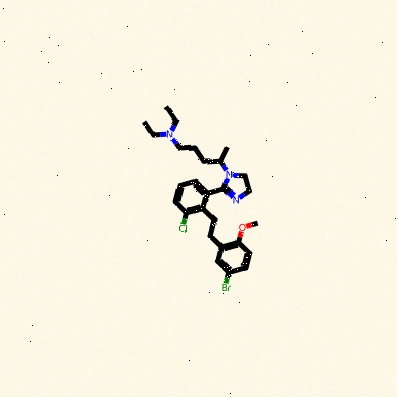 CCN(CC)CCCC(C)N1CCN=C1c1cccc(Cl)c1CCc1cc(Br)ccc1OC